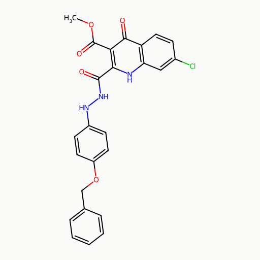 COC(=O)c1c(C(=O)NNc2ccc(OCc3ccccc3)cc2)[nH]c2cc(Cl)ccc2c1=O